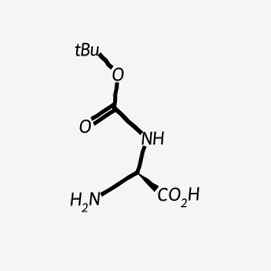 CC(C)(C)OC(=O)N[C@H](N)C(=O)O